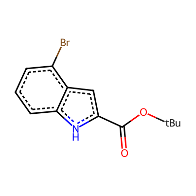 CC(C)(C)OC(=O)c1cc2c(Br)cccc2[nH]1